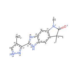 CCN1C(=O)C(C)(C)c2cc3[nH]c(-c4n[nH]cc4[N+](=O)[O-])nc3cc21